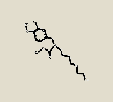 CC(C)(C)OC(=O)N(CCCCOCCO)Cc1ccc(OC(F)(F)F)c(Cl)c1